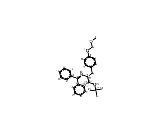 COCOc1ccc(C[C@H](N=C(c2ccccc2)c2ccccc2)C(=O)OC(C)(C)C)cc1